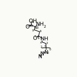 CC(C)(CCNC(=O)CC[C@H](N)C(=O)O)N=[N+]=[N-]